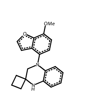 COc1ccc(N2CC3(CCC3)Nc3ccccc32)c2ccoc12